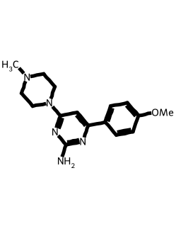 COc1ccc(-c2cc(N3CCN(C)CC3)nc(N)n2)cc1